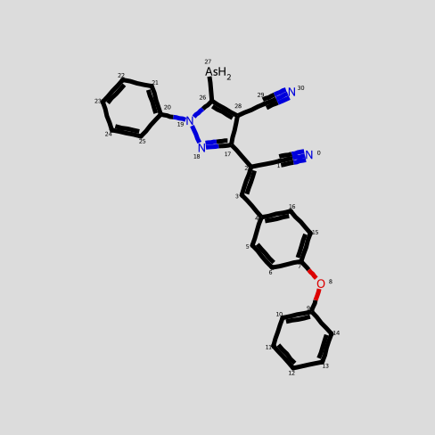 N#CC(=Cc1ccc(Oc2ccccc2)cc1)c1nn(-c2ccccc2)c([AsH2])c1C#N